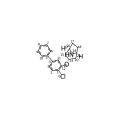 Clc1ccc(-c2ccccc2)cc1O[C@@H]1C[C@H]2CC[C@@H](C1)N2